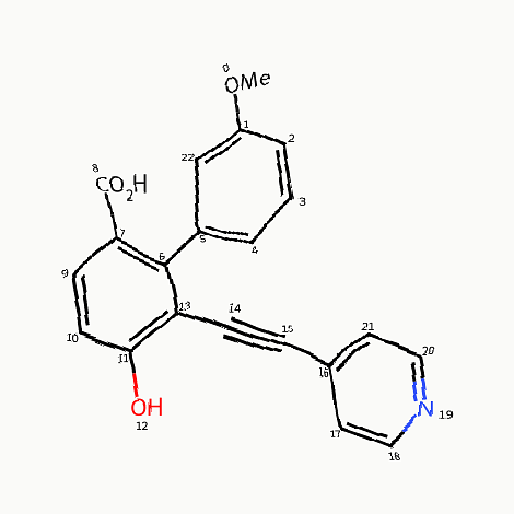 COc1cccc(-c2c(C(=O)O)ccc(O)c2C#Cc2ccncc2)c1